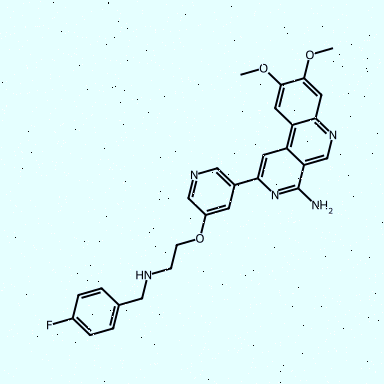 COc1cc2ncc3c(N)nc(-c4cncc(OCCNCc5ccc(F)cc5)c4)cc3c2cc1OC